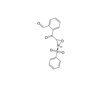 O=Cc1ccccc1C(=O)C1O[N@@]1S(=O)(=O)c1ccccc1